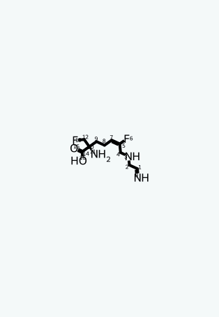 N=CCNC/C(F)=C\CC[C@@](N)(CF)C(=O)O